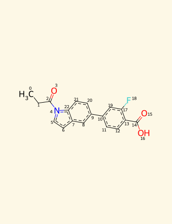 CCC(=O)n1ccc2cc(-c3ccc(C(=O)O)c(F)c3)ccc21